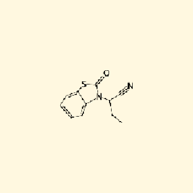 CCC(C#N)n1c(=O)sc2ccccc21